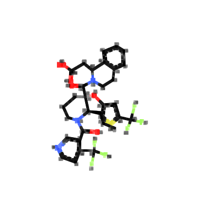 CCC[C@H]1N(C(=O)c2cnccc2C(F)(F)F)CCC[C@@]1(Oc1csc(C(F)(F)F)c1)C(=O)N1CCc2ccccc2C1CC(=O)O